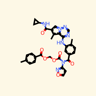 Cc1ccc(C(=O)OCOC(=O)N(C(=O)c2ccc(C)c(Nc3ncnn4cc(C(=O)NC5CC5)c(C)c34)c2)c2ccon2)cc1